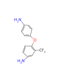 Nc1ccc(Oc2ccc(N)cc2C(F)(F)F)cc1